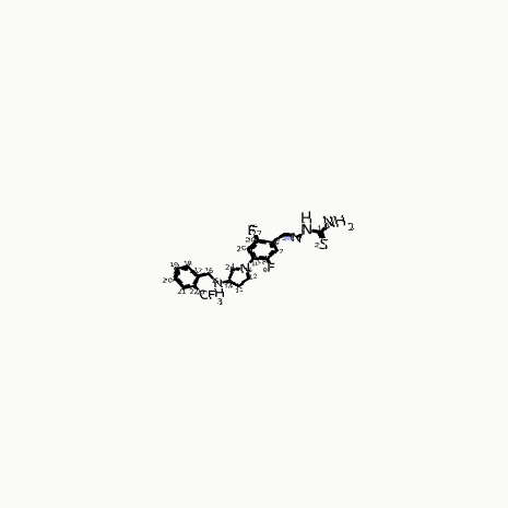 NC(=S)N/N=C/c1cc(F)c(N2CCC(NCc3ccccc3C(F)(F)F)C2)cc1F